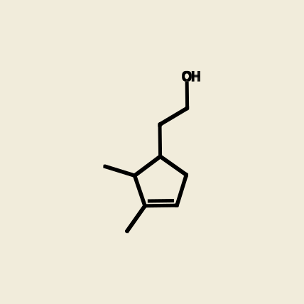 CC1=CCC(CCO)C1C